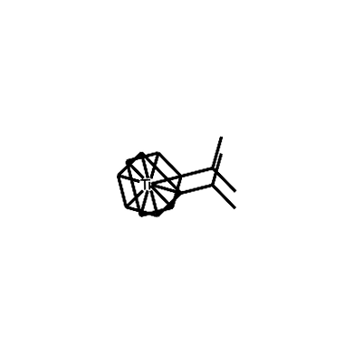 CC(C)[C]12[CH]3[CH]4[CH]5[CH]1[Ti]45321678[CH]2[CH]1[CH]6[C]7(C(C)C)[CH]28